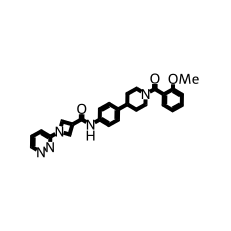 COc1ccccc1C(=O)N1CCC(c2ccc(NC(=O)C3CN(c4cccnn4)C3)cc2)CC1